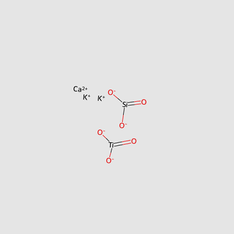 O=[Si]([O-])[O-].[Ca+2].[K+].[K+].[O]=[Ti]([O-])[O-]